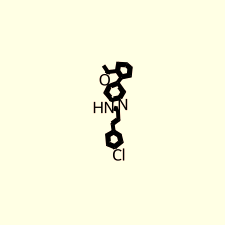 CC(=O)c1ccccc1-c1ccc2[nH]c(C=Cc3ccc(Cl)cc3)nc2c1